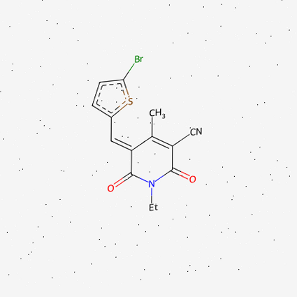 CCN1C(=O)C(=Cc2ccc(Br)s2)C(C)=C(C#N)C1=O